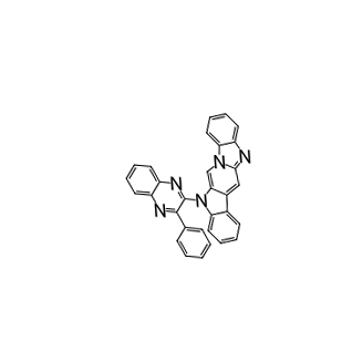 c1ccc(-c2nc3ccccc3nc2-n2c3ccccc3c3cc4nc5ccccc5n4cc32)cc1